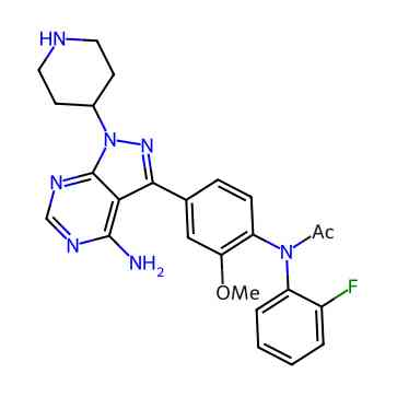 COc1cc(-c2nn(C3CCNCC3)c3ncnc(N)c23)ccc1N(C(C)=O)c1ccccc1F